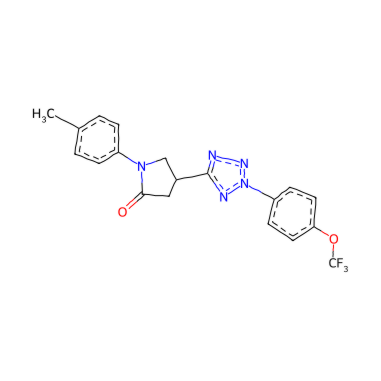 Cc1ccc(N2CC(c3nnn(-c4ccc(OC(F)(F)F)cc4)n3)CC2=O)cc1